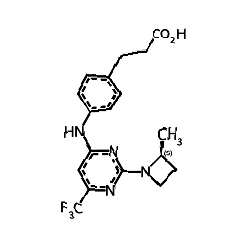 C[C@H]1CCN1c1nc(Nc2ccc(CCC(=O)O)cc2)cc(C(F)(F)F)n1